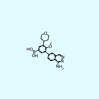 COc1c(-c2ccc3c(N)nncc3c2)cc(B(O)O)cc1C1CCOCC1